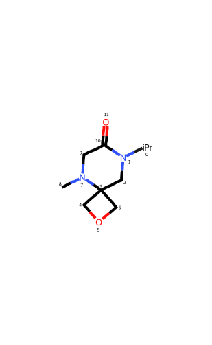 CC(C)N1CC2(COC2)N(C)CC1=O